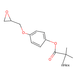 CCCCCCC(C)(C)C(=O)Oc1ccc(OCC2CO2)cc1